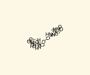 COC(=O)N[C@H](C(=O)N1C(C)CC[C@H]1c1ncc(-c2ccc(-c3ccc4c(ccc5nc([C@@H]6[C@H]7CC[C@H](C7)N6C(=O)[C@@H](NC(=O)OC)C(C)C)[nH]c54)c3)cc2)[nH]1)C(C)C